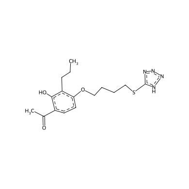 CCCc1c(OCCCCSc2nnn[nH]2)ccc(C(C)=O)c1O